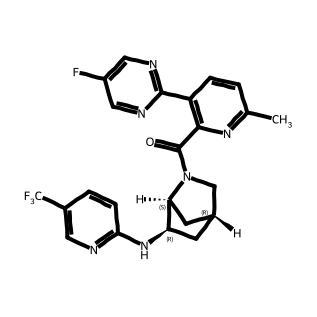 Cc1ccc(-c2ncc(F)cn2)c(C(=O)N2C[C@@H]3C[C@@H](Nc4ccc(C(F)(F)F)cn4)[C@@H]2C3)n1